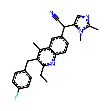 CCc1nc2ccc(C(C#N)c3cnc(C)n3C)cc2c(C)c1Cc1ccc(F)cc1